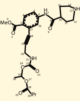 COC(=O)c1ccc(NC(=O)C2CCNCC2)cc1C#CCNC(=O)OC(C)OC(=O)C(C)C